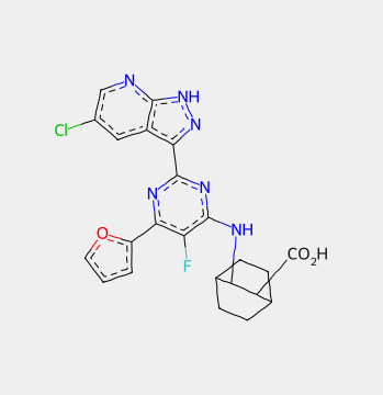 O=C(O)C1C2CCC(CC2)C1Nc1nc(-c2n[nH]c3ncc(Cl)cc23)nc(-c2ccco2)c1F